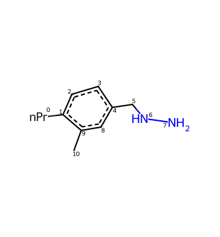 CCCc1ccc(CNN)cc1C